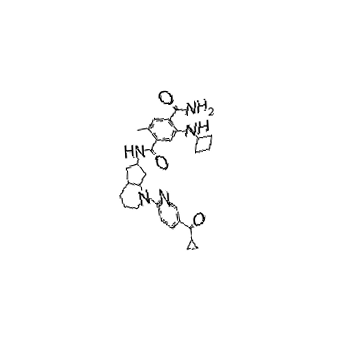 Cc1cc(C(N)=O)c(NC2CCC2)cc1C(=O)NC1CC2CCCN(c3ccc(C(=O)C4CC4)cn3)C2C1